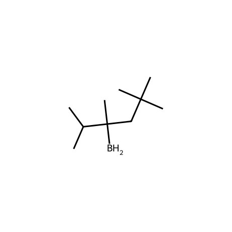 BC(C)(CC(C)(C)C)C(C)C